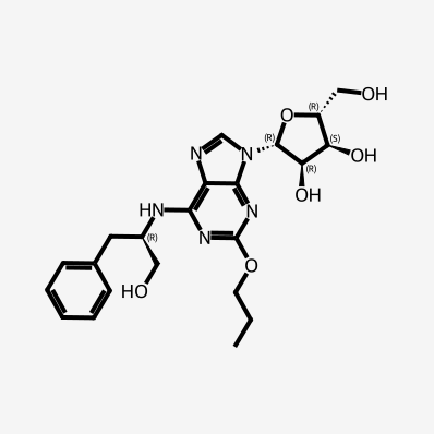 CCCOc1nc(N[C@@H](CO)Cc2ccccc2)c2ncn([C@@H]3O[C@H](CO)[C@@H](O)[C@H]3O)c2n1